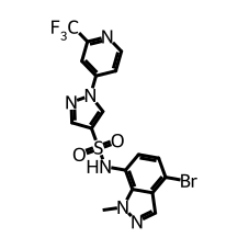 Cn1ncc2c(Br)ccc(NS(=O)(=O)c3cnn(-c4ccnc(C(F)(F)F)c4)c3)c21